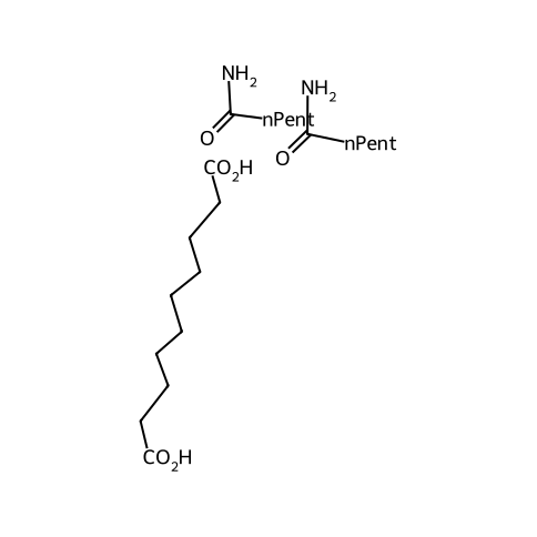 CCCCCC(N)=O.CCCCCC(N)=O.O=C(O)CCCCCCCCC(=O)O